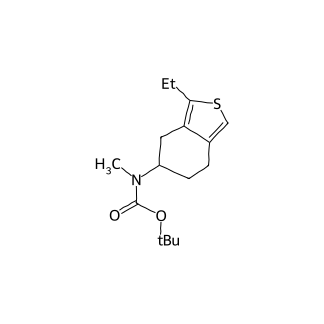 CCc1scc2c1CC(N(C)C(=O)OC(C)(C)C)CC2